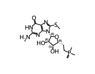 C=P(C)(C)CC[C@H]1O[C@@H](n2c(SC)nc3c(=O)[nH]c(N)nc32)[C@H](O)[C@@H]1O